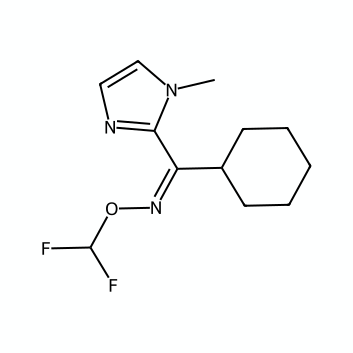 Cn1ccnc1/C(=N\OC(F)F)C1CCCCC1